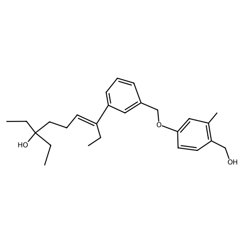 CC/C(=C\CCC(O)(CC)CC)c1cccc(COc2ccc(CO)c(C)c2)c1